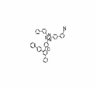 N#Cc1cccc(-c2ccc(-c3nc(-c4cccc(-c5ccccc5)c4)nc(-c4ccc5c(c4)oc4cc(-c6ccccc6)cc(-c6ccc(-c7ccccc7)cc6)c45)n3)cc2)c1